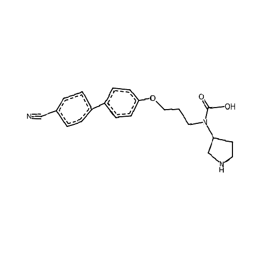 N#Cc1ccc(-c2ccc(OCCCN(C(=O)O)C3CCNC3)cc2)cc1